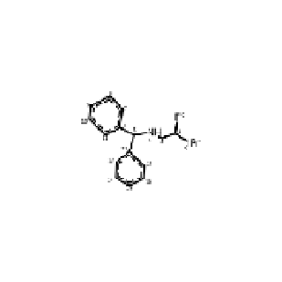 CC(C)C(F)CNC(c1ccccc1)c1ccccc1